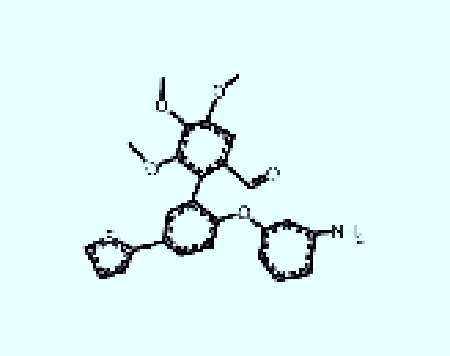 COc1cc(C=O)c(-c2cc(-c3cccs3)ccc2Oc2cccc(N)c2)c(OC)c1OC